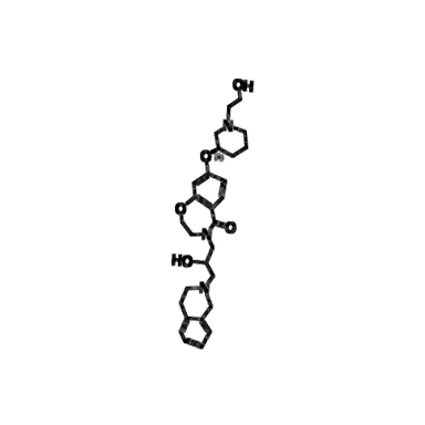 O=C1c2ccc(O[C@@H]3CCCN(CCO)C3)cc2OCCN1CC(O)CN1CCc2ccccc2C1